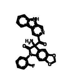 NC1(C(=O)c2cc3c(cn2)[nH]c2ccccc23)C(=O)N(c2ccccc2F)c2cc3c(cc21)OCO3